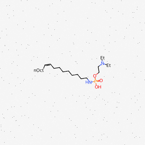 CCCCCCCC/C=C\CCCCCCCCNP(=O)(O)OCCN(CC)CC